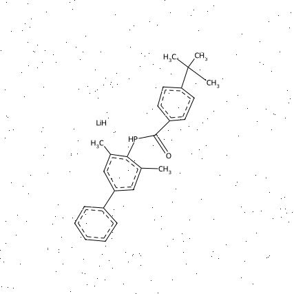 Cc1cc(-c2ccccc2)cc(C)c1PC(=O)c1ccc(C(C)(C)C)cc1.[LiH]